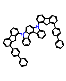 c1ccc(-c2ccc(-c3cccc4c3Cc3c-4cccc3-n3c4ccccc4c4c5c6ccccc6n(-c6cccc7c6Cc6c(-c8ccc(-c9ccccc9)cc8)cccc6-7)c5ccc43)cc2)cc1